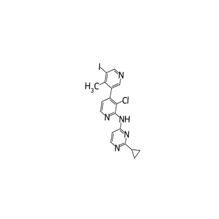 Cc1c(I)cncc1-c1ccnc(Nc2ccnc(C3CC3)n2)c1Cl